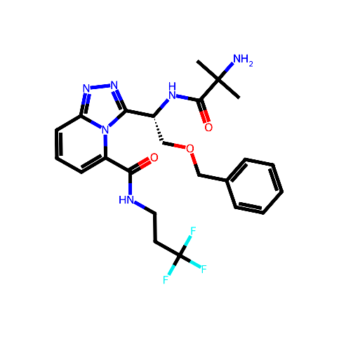 CC(C)(N)C(=O)N[C@H](COCc1ccccc1)c1nnc2cccc(C(=O)NCCC(F)(F)F)n12